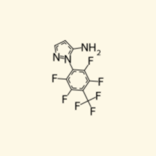 Nc1ccnn1-c1c(F)c(F)c(C(F)(F)F)c(F)c1F